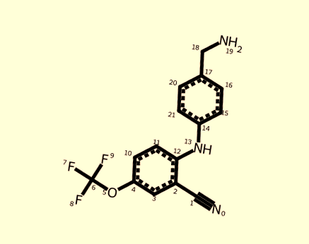 N#Cc1cc(OC(F)(F)F)ccc1Nc1ccc(CN)cc1